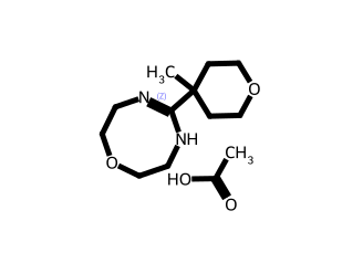 CC(=O)O.CC1(/C2=N/CCOCCN2)CCOCC1